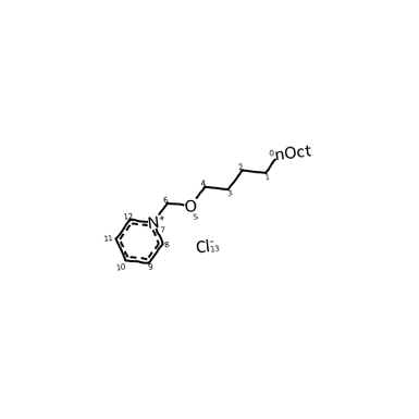 CCCCCCCCCCCCOC[n+]1ccccc1.[Cl-]